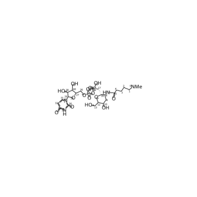 CNCCCCC(=O)NC1C[C@@H](O)C(CO)O[C@@H]1CP(=O)(O)OP(=O)(O)OCC1OC(n2ccc(=O)[nH]c2=O)C(O)C1O